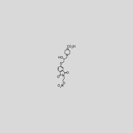 CCOC(=O)N1CCN(CC(O)COc2ccc3c(c2)C(=O)N(CCO[N+](=O)[O-])C3=O)CC1